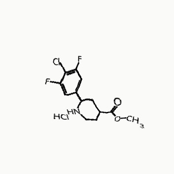 COC(=O)C1CCNC(c2cc(F)c(Cl)c(F)c2)C1.Cl